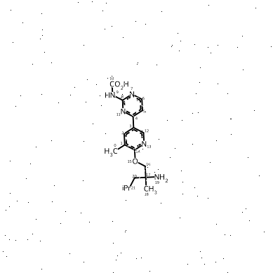 Cc1cc(-c2ccnc(NC(=O)O)n2)cnc1OCC(C)(N)CC(C)C